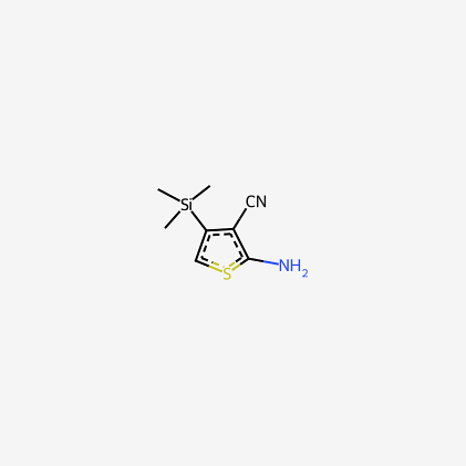 C[Si](C)(C)c1csc(N)c1C#N